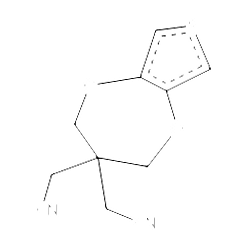 N#CCC1(CC#N)COc2cscc2OC1